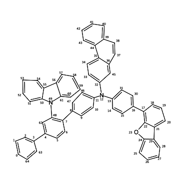 c1ccc(-c2ccc(-c3ccc(N(c4ccc(-c5cccc6c5oc5ccccc56)cc4)c4ccc5c(ccc6ccccc65)c4)cc3)c(-n3c4ccccc4c4ccccc43)c2)cc1